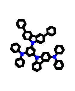 c1ccc(-c2ccc3c(c2)c2cc(-c4ccccc4)ccc2n3-c2cc(N(c3ccccc3)c3ccccc3)cc(-n3c4ccccc4c4cc(N(c5ccccc5)c5ccccc5)ccc43)c2)cc1